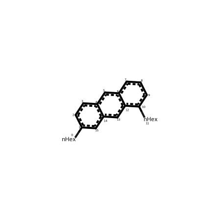 CCCCCCc1ccc2cc3cccc(CCCCCC)c3cc2c1